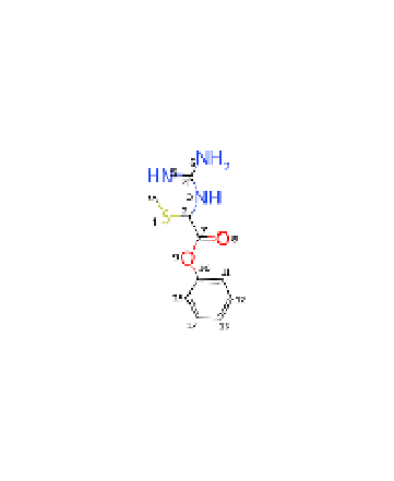 CSC(NC(=N)N)C(=O)Oc1ccccc1